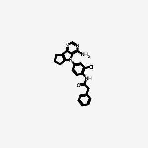 Nc1ncnc2c3c(n(-c4ccc(NC(=O)Cc5ccccc5)c(Cl)c4)c12)CCC3